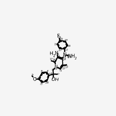 COc1ccc(C(C)(O)CN2C=C(C)C(N(N)c3ccc(F)cc3)=C(N)C2C)cc1